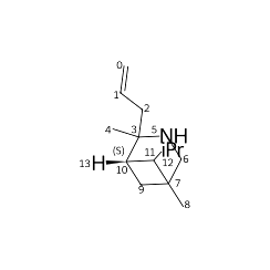 C=CCC1(C)NCC2(C)C[C@H]1C2C(C)C